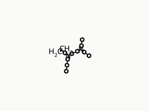 C=C(C)c1ccc(N(c2ccc(-c3ccc(-c4ccccc4)cc3)cc2)c2ccc(-c3ccc(N(c4ccc(-c5ccccc5)cc4)c4ccc(-c5ccccc5)cc4)cc3)cc2)cc1